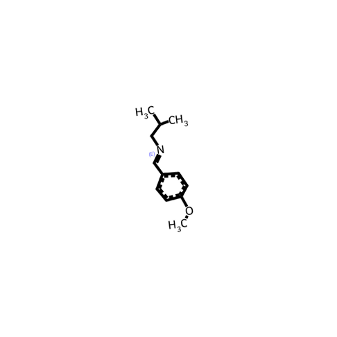 COc1ccc(/C=N/CC(C)C)cc1